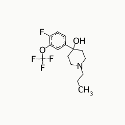 CCCN1CCC(O)(c2ccc(F)c(OC(F)(F)F)c2)CC1